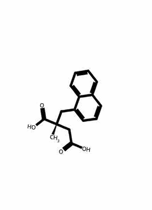 C[C@](CC(=O)O)(Cc1cccc2ccccc12)C(=O)O